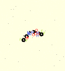 C[C@H]1C[C@@H](n2ncc(N3CCC(O)(C(=O)NCc4cccc(F)c4F)C3=O)n2)CO[C@@H]1c1cc(F)ccc1F